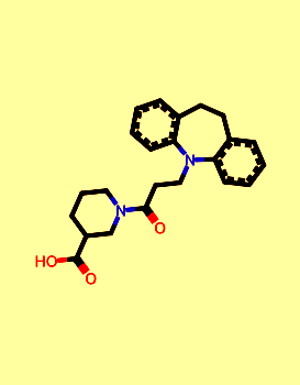 O=C(O)C1CCCN(C(=O)CCN2c3ccccc3CCc3ccccc32)C1